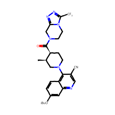 CC(C)COc1ccc2c(N3CC[C@H](C(=O)N4CCn5c(nnc5C(F)(F)F)C4)[C@H](C)C3)c(C#N)cnc2c1